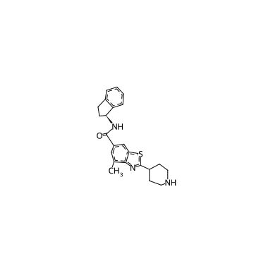 Cc1cc(C(=O)N[C@H]2CCc3ccccc32)cc2sc(C3CCNCC3)nc12